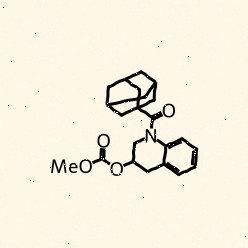 COC(=O)OC1Cc2ccccc2N(C(=O)C23CC4CC(CC(C4)C2)C3)C1